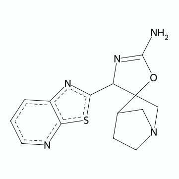 NC1=NC(c2nc3cccnc3s2)C2(CN3CCC2C3)O1